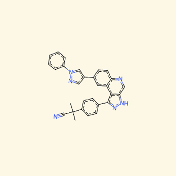 CC(C)(C#N)c1ccc(-c2n[nH]c3cnc4ccc(-c5cnn(-c6ccccc6)c5)cc4c23)cc1